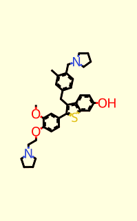 COc1cc(-c2sc3cc(O)ccc3c2Cc2ccc(CN3CCCC3)c(C)c2)ccc1OCCN1CCCC1